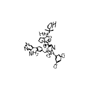 CC(C)(O)CNC(=O)[C@@H]1CCCN1S(=O)(=O)c1cnc2n1[C@](C)(Cc1ccc(-c3cncnc3N)cc1)C(=O)N2c1cc(Cl)cc(Cl)c1